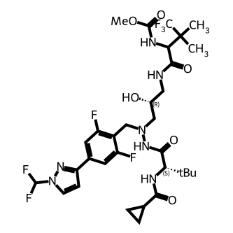 COC(=O)NC(C(=O)NC[C@@H](O)CN(Cc1c(F)cc(-c2ccn(C(F)F)n2)cc1F)NC(=O)[C@@H](NC(=O)C1CC1)C(C)(C)C)C(C)(C)C(F)(F)F